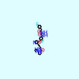 O=C(Cc1ccc(F)cc1)NC(=O)Nc1ccc(Oc2ccncc2C#CCNC(=O)N2CCCC2N2CCCC2)c(F)c1